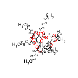 CCCCCCCC(=O)O[C@@H]1[C@H](OOC[C@@H]2OC(C)(C)O[C@H]2CO[Si](C)(C)C(C)(C)C)O[C@H](COC(=O)CCCCC)[C@@H](OC(=O)CCCCC)[C@@H]1OC(=O)CCCCC